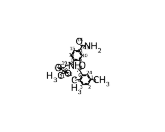 Cc1ccc(C)c(COc2cc(C(N)=O)ccc2NCS(C)(=O)=O)c1